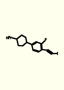 CCCC1CCC(c2ccc(C#CI)c(F)c2)CC1